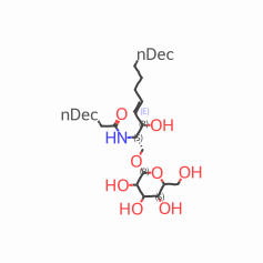 CCCCCCCCCCCCC/C=C/[C@@H](O)[C@H](CO[C@@H]1OC(CO)[C@@H](O)C(O)C1O)NC(=O)CCCCCCCCCCC